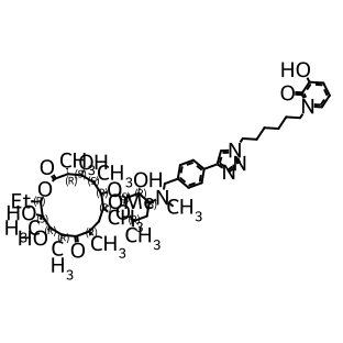 CC[C@H]1OC(=O)[C@H](C)[C@@H](O)[C@H](C)[C@@H](O[C@@H]2O[C@H](C)C[C@H](N(C)Cc3ccc(-c4cn(CCCCCCn5cccc(O)c5=O)nn4)cc3)[C@H]2O)[C@](C)(OC)C[C@@H](C)C(=O)[C@H](C)[C@@H](O)[C@]1(C)O